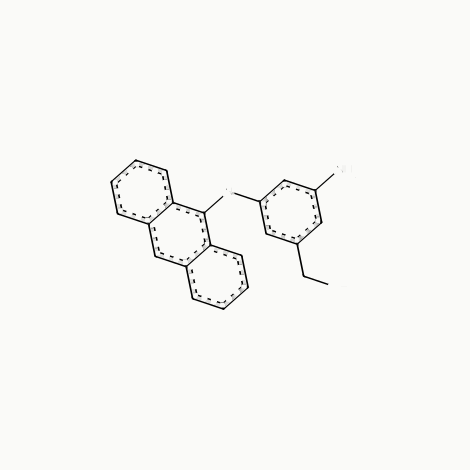 Nc1cc(CO)cc(Nc2c3ccccc3cc3ccccc23)c1